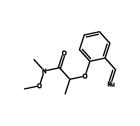 CON(C)C(=O)C(C)Oc1ccccc1[CH]=[Ru]